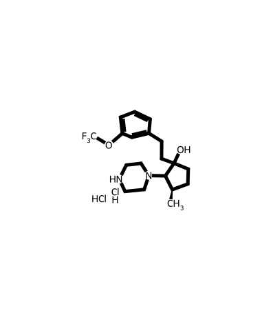 C[C@@H]1CCC(O)(CCc2cccc(OC(F)(F)F)c2)C1N1CCNCC1.Cl.Cl